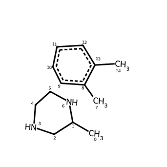 CC1CNCCN1.Cc1ccccc1C